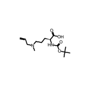 C=CCN(C)CCC[C@H](NC(=O)OC(C)(C)C)C(=O)O